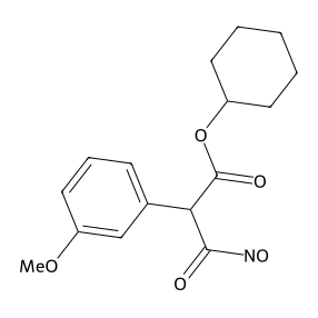 COc1cccc(C(C(=O)N=O)C(=O)OC2CCCCC2)c1